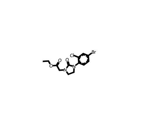 CCOC(=O)CN1CCN(c2ccc(Br)cc2Cl)C1=O